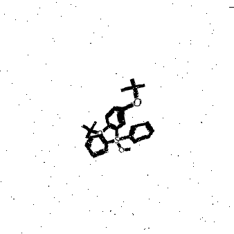 COS(c1ccccc1)(c1ccccc1)c1cc(OC(C)(C)C)ccc1OC(C)(C)C